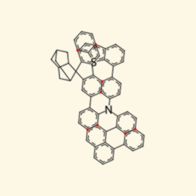 c1ccc(-c2cccc3cccc(-c4ccccc4N(c4ccc(-c5cccc6c5sc5ccccc56)cc4)c4ccccc4-c4ccc5c(c4)C4(c6ccccc6-5)C5CC6CC(C5)C4C6)c23)cc1